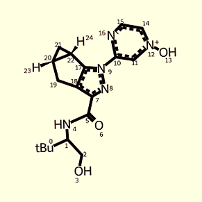 CC(C)(C)C(CO)NC(=O)c1nn(-c2c[n+](O)ccn2)c2c1C[C@@H]1C[C@H]21